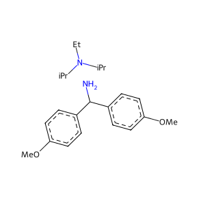 CCN(C(C)C)C(C)C.COc1ccc(C(N)c2ccc(OC)cc2)cc1